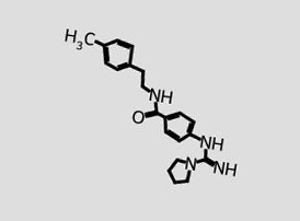 Cc1ccc(CCNC(=O)c2ccc(NC(=N)N3CCCC3)cc2)cc1